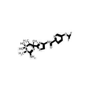 C[C@@H]1[C@](C)(c2nc(NC(=O)c3ccc(OC(F)F)cn3)cs2)N=C(N)N(C)S1(O)O